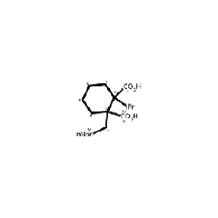 CCCCCCCCCCC1(C(=O)O)CCCCC1(C(=O)O)C(C)C